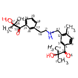 Cc1ccc(C(=O)C(C)(C)O)cc1CNCCc1cccc(C(=O)C(C)(C)O)c1